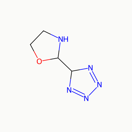 C1COC(C2N=NN=N2)N1